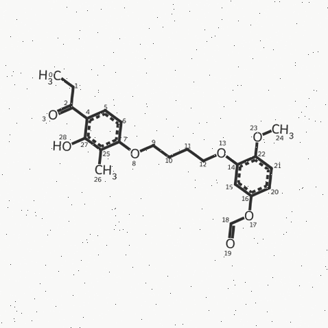 CCC(=O)c1ccc(OCCCCOc2cc(OC=O)ccc2OC)c(C)c1O